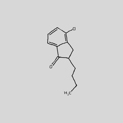 CCCCC1Cc2c(Cl)cccc2C1=O